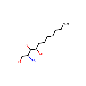 CCCCCCCCCCCCCC[C@@H](O)C(O)[C@@H](N)CO